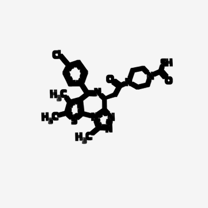 Cc1sc2c(c1C)C(c1ccc(Cl)cc1)=N[C@@H](CC(=O)N1CCN(C(=O)S)CC1)c1nnc(C)n1-2